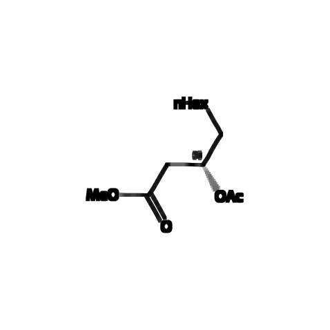 CCCCCCC[C@@H](CC(=O)OC)OC(C)=O